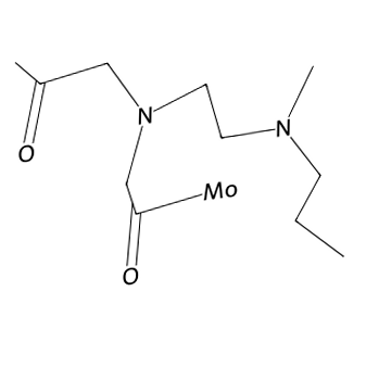 CCCN(C)CCN(CC(C)=O)C[C](=O)[Mo]